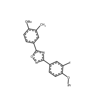 Cc1cc(-c2nc(-c3ccc(OC(C)C)c(I)c3)no2)ccc1OCC(C)C